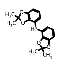 CC1(C)Oc2cccc(Pc3cccc4c3OC(C)(C)O4)c2O1